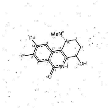 CN[C@@H]1CCC(O)c2[nH]c(=O)c3cc(F)c(F)cc3c21